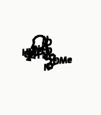 COc1ccc2c(OC3CC4C(=O)NC5(C(=O)NS(=O)(=O)C6CC6)CC5/C=C/CCCCN(C)C(=O)N4C3)nccc2c1-c1cnccc1C